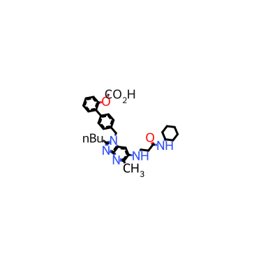 CCCCc1nc2nc(C)c(NCCC(=O)NC3CCCCC3)cc2n1Cc1ccc(-c2ccccc2OC(=O)O)cc1